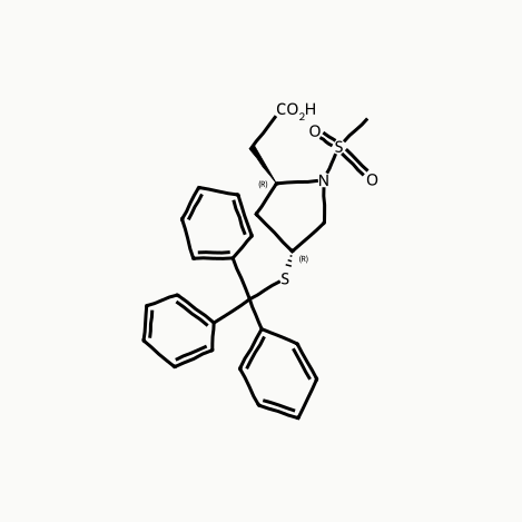 CS(=O)(=O)N1C[C@H](SC(c2ccccc2)(c2ccccc2)c2ccccc2)C[C@H]1CC(=O)O